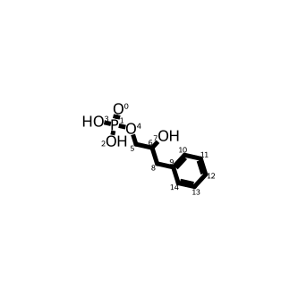 O=P(O)(O)OCC(O)Cc1ccccc1